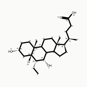 CC[C@H]1[C@@H](O)C2C3CC[C@H]([C@H](C)CCC(=O)O)[C@@]3(C)CCC2[C@@]2(C)CC[C@@H](O)C[C@@H]12